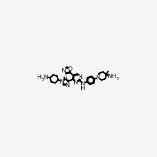 CC1(N)CCN(c2ccc(Nc3ncc(-c4cnco4)c(-c4ncn(C5CCC(N)CC5)n4)n3)cc2)CC1